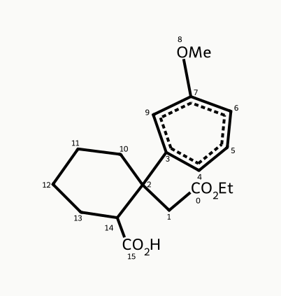 CCOC(=O)CC1(c2cccc(OC)c2)CCCCC1C(=O)O